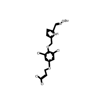 CC(C)CON=Cc1ccc(COc2c(Cl)cc(OCC=C(Cl)Cl)cc2Cl)[nH]1